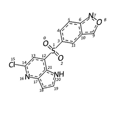 O=S(=O)(c1ccc2nocc2c1)c1cc(Cl)nc2cc[nH]c12